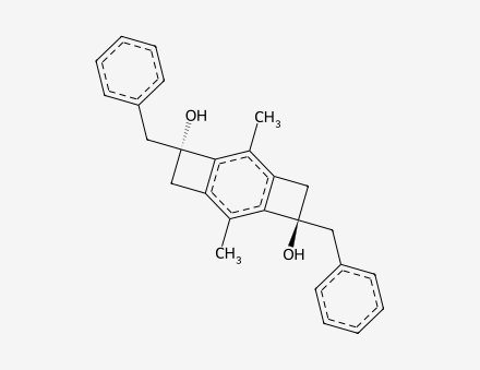 Cc1c2c(c(C)c3c1[C@@](O)(Cc1ccccc1)C3)[C@](O)(Cc1ccccc1)C2